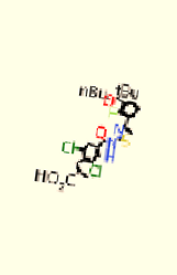 CCCCOC(c1cccc(-c2csc(NC(=O)c3cc(Cl)c(C=C(C)C(=O)O)c(Cl)c3)n2)c1F)C(C)(C)C